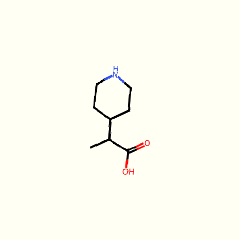 CC(C(=O)O)C1CCNCC1